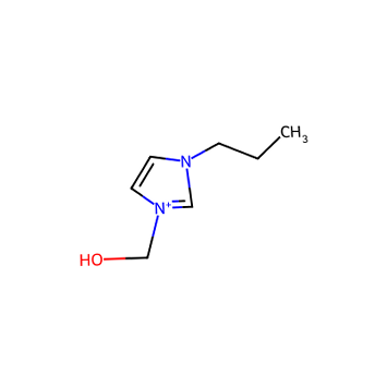 CCCn1cc[n+](CO)c1